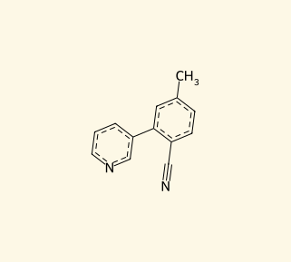 Cc1ccc(C#N)c(-c2cccnc2)c1